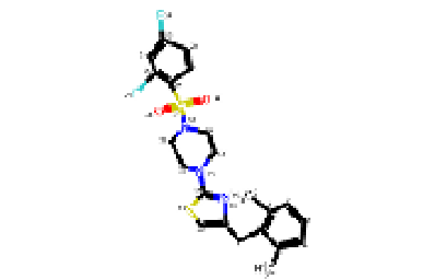 Cc1cccc(C)c1Cc1csc(N2CCN(S(=O)(=O)c3ccc(F)cc3F)CC2)n1